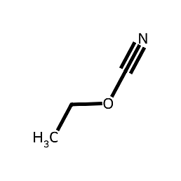 CCOC#N